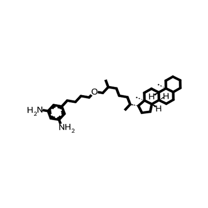 CC(CCCC(C)[C@H]1CC[C@H]2[C@@H]3CCC4CCCC[C@]4(C)[C@H]3CC[C@]12C)COCCCCc1cc(N)cc(N)c1